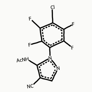 CC(=O)Nc1c(C#N)cnn1-c1c(F)c(F)c(Cl)c(F)c1F